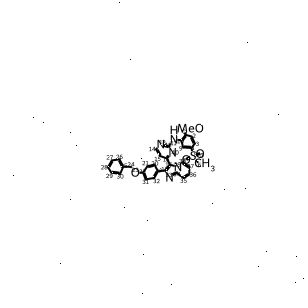 COc1ccc(S(C)(=O)=O)cc1Nc1nccc(-c2c(-c3ccc(OCc4ccccc4)cc3)nc3ccccn23)n1